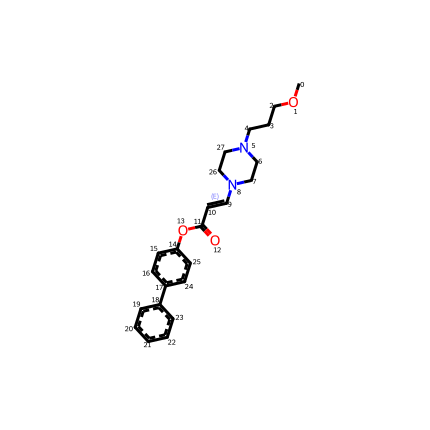 COCCCN1CCN(/C=C/C(=O)Oc2ccc(-c3ccccc3)cc2)CC1